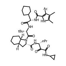 CCC[C@@H](NC(=O)[C@@H]1C[C@@H]2CCCC[C@@H]2N1C(=O)[C@@H](NC(=O)[C@@H](NC(=O)c1[nH]c(C)c(C)c1C(C)=O)C1CCCCC1)C(C)(C)C)C(=O)C(=O)NC1CC1